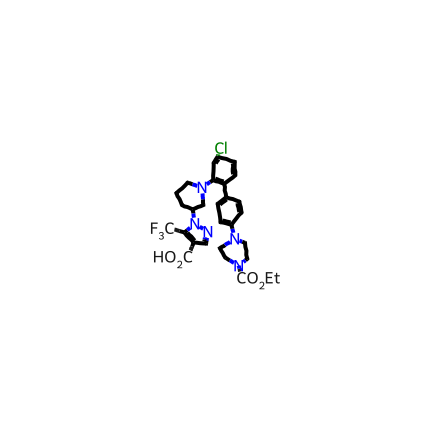 CCOC(=O)N1CCN(c2ccc(-c3ccc(Cl)cc3N3CCCC(n4ncc(C(=O)O)c4C(F)(F)F)C3)cc2)CC1